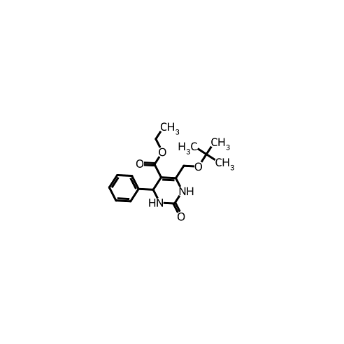 CCOC(=O)C1=C(COC(C)(C)C)NC(=O)NC1c1ccccc1